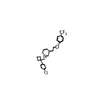 FC(F)(F)c1ccc(OCCC2CCCN(CC3(c4ccc(Cl)cc4)CCC3)C2)cc1